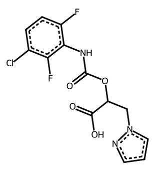 O=C(Nc1c(F)ccc(Cl)c1F)OC(Cn1cccn1)C(=O)O